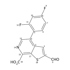 O=Cc1cc2c(-c3ccc(F)cc3F)cnc(C(=O)O)c2s1